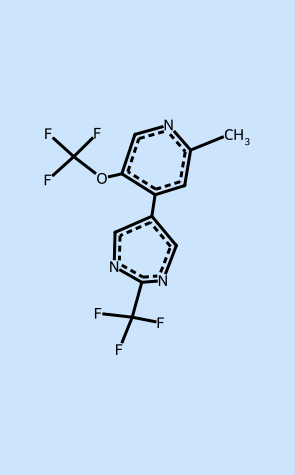 Cc1cc(-c2cnc(C(F)(F)F)nc2)c(OC(F)(F)F)cn1